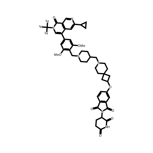 [2H]C([2H])([2H])n1cc(-c2cc(OC)c(CN3CCC(CN4CCC5(CC4)CC(Oc4ccc6c(c4)C(=O)N(C4CCC(=O)NC4=O)C6=O)C5)CC3)c(OC)c2)c2cc(C3CC3)ncc2c1=O